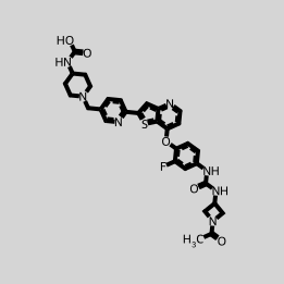 CC(=O)N1CC(NC(=O)Nc2ccc(Oc3ccnc4cc(-c5ccc(CN6CCC(NC(=O)O)CC6)cn5)sc34)c(F)c2)C1